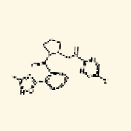 Cc1noc(-c2ccccc2C(=O)N2CCCC2CNc2ncc(Cl)cn2)n1